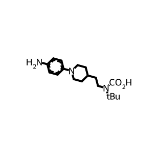 CC(C)(C)N(CCC1CCN(c2ccc(N)cc2)CC1)C(=O)O